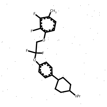 CCCC1CCC(c2ccc(OC(F)(F)COc3ccc(C)c(F)c3F)cc2)CC1